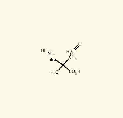 C=O.CCCCC(C)(C)C(=O)O.I.N